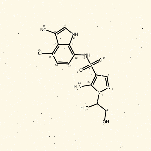 CC(CO)n1ncc(S(=O)(=O)Nc2ccc(Cl)c3c(C#N)c[nH]c23)c1N